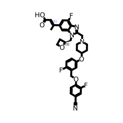 C/C(=C\C(=O)O)c1cc(F)c2nc(CN3CCC(Oc4ccc(F)c(COc5ccc(C#N)cc5F)c4)CC3)n(C[C@@H]3CCO3)c2c1